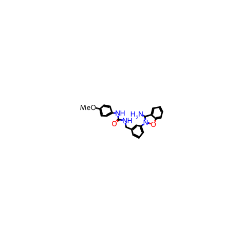 COc1ccc(NC(=O)NCc2cccc(N3Oc4ccccc4C3N)c2)cc1